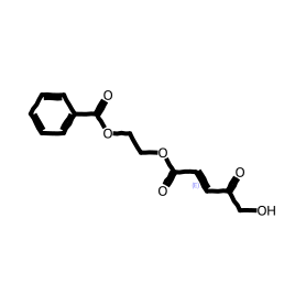 O=C(/C=C/C(=O)OCCOC(=O)c1ccccc1)CO